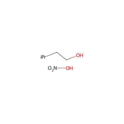 CC(C)CCO.O=[N+]([O-])O